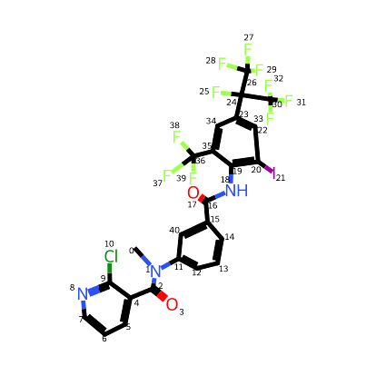 CN(C(=O)c1cccnc1Cl)c1cccc(C(=O)Nc2c(I)cc(C(F)(C(F)(F)F)C(F)(F)F)cc2C(F)(F)F)c1